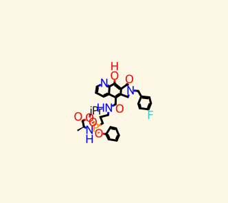 CC(C)OC(=O)[C@H](C)NP(=O)(CCCNC(=O)c1c2c(c(O)c3ncccc13)C(=O)N(Cc1ccc(F)cc1)C2)Oc1ccccc1